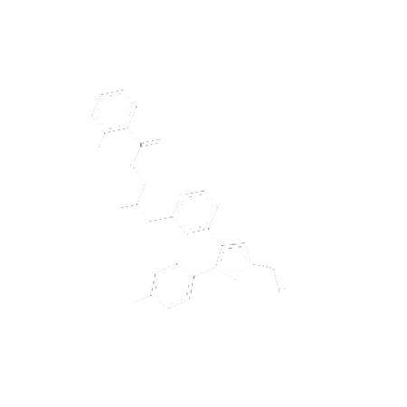 CC(C)Cn1cc(-c2ccnc(CC(C)CNC(=O)c3ccccc3O)n2)c(-c2ccc(F)cc2)n1